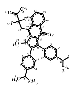 CC(C)c1ccc(-c2c(-c3ccc(C(C)C)cc3)n3c(=O)c4ccccc4c(CC(F)(F)C(=O)O)c3n2C)cc1